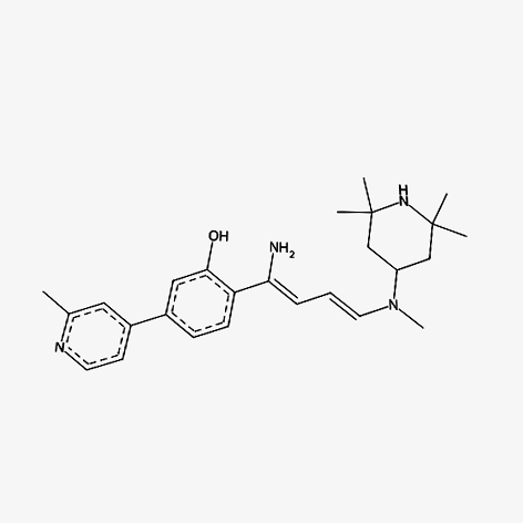 Cc1cc(-c2ccc(/C(N)=C/C=C/N(C)C3CC(C)(C)NC(C)(C)C3)c(O)c2)ccn1